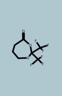 O=C1CCCOC(C(F)(F)F)(C(F)(F)F)O1